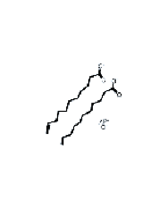 C=CCCCCCCCCC(=O)[O-].C=CCCCCCCCCC(=O)[O-].[Al+3].[Cl-]